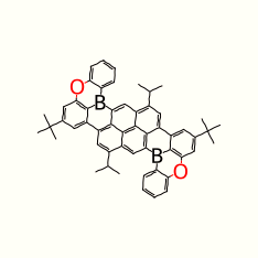 CC(C)c1cc2c3c(cc4c(C(C)C)cc5c6c(cc1c3c46)B1c3ccccc3Oc3cc(C(C)(C)C)cc-5c31)B1c3ccccc3Oc3cc(C(C)(C)C)cc-2c31